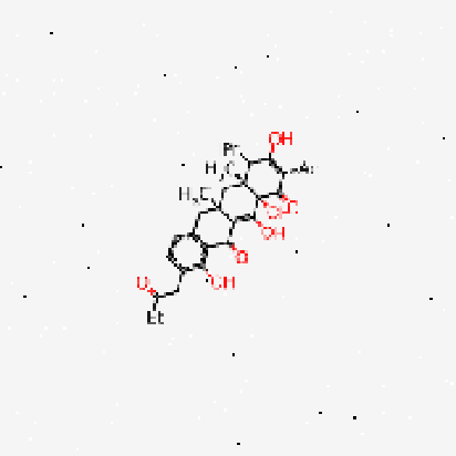 CCC(=O)Cc1ccc2c(c1O)C(=O)C1=C(O)[C@@]3(O)C(=O)C(C(C)=O)=C(O)C(C(C)C)[C@@]3(C)C[C@@]1(C)C2